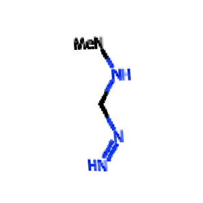 CNNCN=N